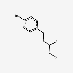 FC(CBr)CCc1ccc(Br)cc1